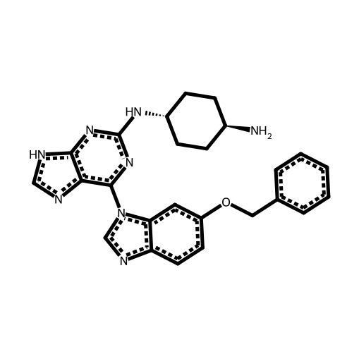 N[C@H]1CC[C@H](Nc2nc(-n3cnc4ccc(OCc5ccccc5)cc43)c3nc[nH]c3n2)CC1